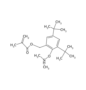 C=C(C)C(=O)OCc1cc(C(C)(C)C)cc(C(C)(C)C)c1O[SiH](C)C